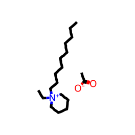 CC(=O)[O-].CCCCCCCCCC[N+]1(CC)CCCCC1